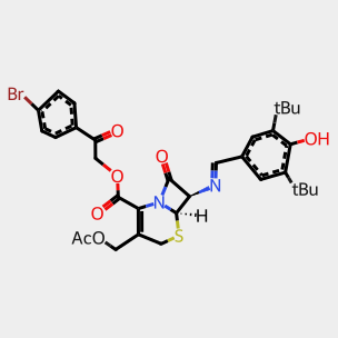 CC(=O)OCC1=C(C(=O)OCC(=O)c2ccc(Br)cc2)N2C(=O)[C@@H](/N=C/c3cc(C(C)(C)C)c(O)c(C(C)(C)C)c3)[C@H]2SC1